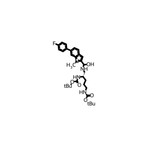 Cn1c(C(O)NC[C@H](CCCNC(=O)OC(C)(C)C)NC(=O)OC(C)(C)C)cc2ccc(-c3ccc(F)cc3)cc21